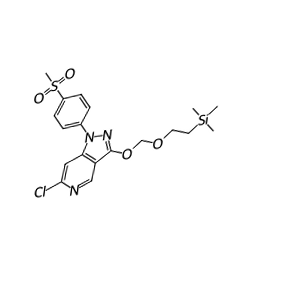 C[Si](C)(C)CCOCOc1nn(-c2ccc(S(C)(=O)=O)cc2)c2cc(Cl)ncc12